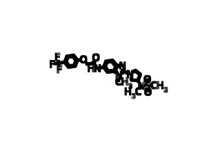 CN(C1CCN(c2nc3ccc(NC(=O)COc4ccc(C(F)(F)F)cc4)cc3n2C)C1)S(C)(=O)=O